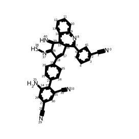 N#Cc1cccc(-c2nc3ccccc3c3c2C=C(c2ccc(-c4c(N)cc(C#N)cc4C#N)cc2)/C(=N/S)C3=N)c1